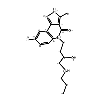 CCCNCC(O)CCn1c(=O)c2c(C)[nH]nc2c2cc(Cl)ccc21